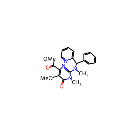 COC(=O)c1nc(N(C)C(c2ccccc2)c2ccccn2)n(C)c(=O)c1OC